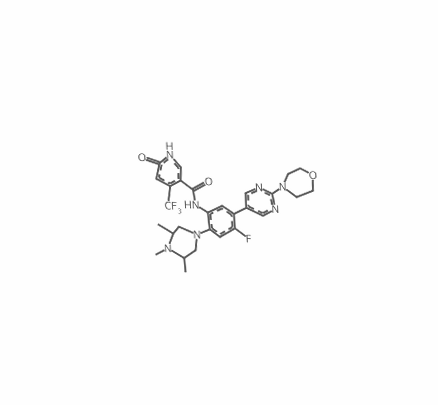 CC1CN(c2cc(F)c(-c3cnc(N4CCOCC4)nc3)cc2NC(=O)c2c[nH]c(=O)cc2C(F)(F)F)CC(C)N1C